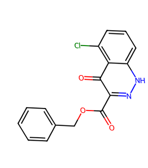 O=C(OCc1ccccc1)c1n[nH]c2cccc(Cl)c2c1=O